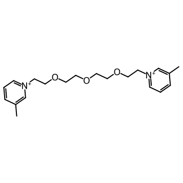 Cc1ccc[n+](CCOCCOCCOCC[n+]2cccc(C)c2)c1